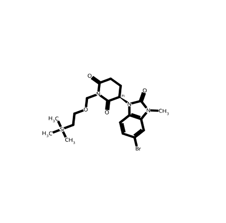 Cn1c(=O)n([C@@H]2CCC(=O)N(COCC[Si](C)(C)C)C2=O)c2ccc(Br)cc21